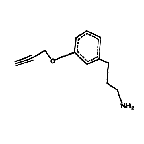 C#CCOc1cccc(CCCN)c1